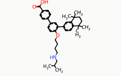 CC(C)CNCCCCOc1ccc(-c2ccc(C(=O)O)cc2)cc1-c1ccc2c(c1)C(C)(C)CCC2(C)C